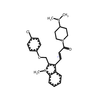 CN(C)C1CCN(C(=O)/C=C/c2c(COc3ccc(Cl)cc3)n(C)c3ccccc23)CC1